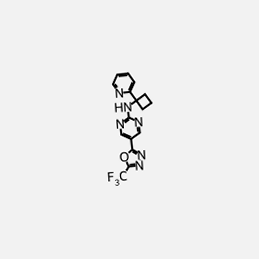 FC(F)(F)c1nnc(-c2cnc(NC3(c4ccccn4)CCC3)nc2)o1